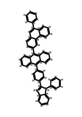 c1ccc(-c2cc3ccc(-c4c5ccccc5c(-c5ccc(-c6nc7ccccc7n6-c6ccccc6)cc5)c5ccccc45)cc3c3ccccc23)cc1